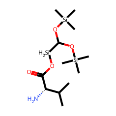 CC(C)[C@H](N)C(=O)O[SiH2]C(O[Si](C)(C)C)O[Si](C)(C)C